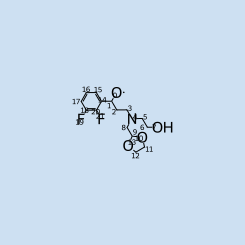 [O]C(CCN(CCO)CC1OCCO1)c1cccc(F)c1F